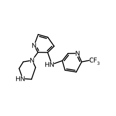 FC(F)(F)c1ccc(Nc2cccnc2N2CCNCC2)cn1